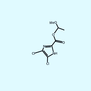 COC(C)OC(=O)c1nc(Cl)c(Cl)[nH]1